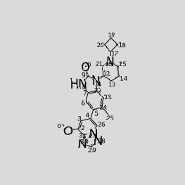 COc1cc(-c2cc3[nH]c(=O)n(C4CCCN(C5CCC5)C4)c3cc2C)cn2ncnc12